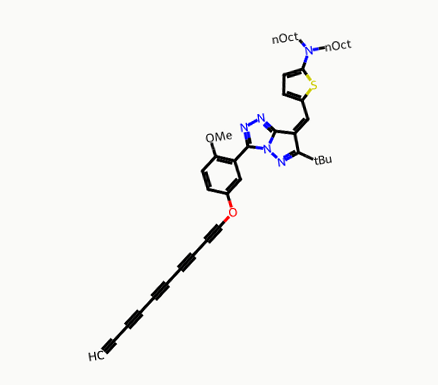 C#CC#CC#CC#CC#COc1ccc(OC)c(-c2nnc3/c(=C\c4ccc(N(CCCCCCCC)CCCCCCCC)s4)c(C(C)(C)C)nn23)c1